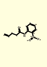 C=CCCC(=O)Nc1ccccc1[N+](=O)[O-]